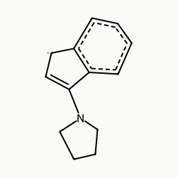 [CH]1C=C(N2CCCC2)c2ccccc21